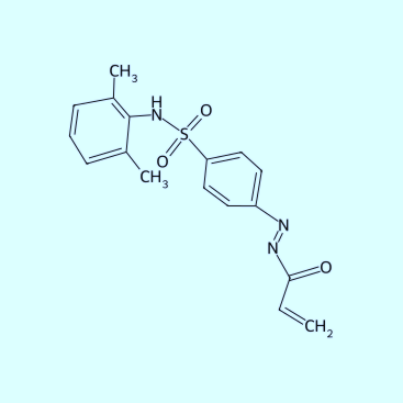 C=CC(=O)N=Nc1ccc(S(=O)(=O)Nc2c(C)cccc2C)cc1